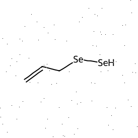 C=CC[Se][SeH]